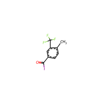 Cc1ccc(C(=O)I)cc1C(F)(F)F